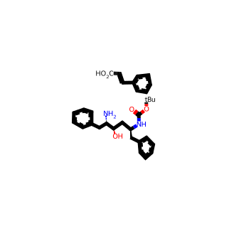 CC(C)(C)OC(=O)N[C@@H](Cc1ccccc1)C[C@H](O)[C@@H](N)Cc1ccccc1.O=C(O)C=Cc1ccccc1